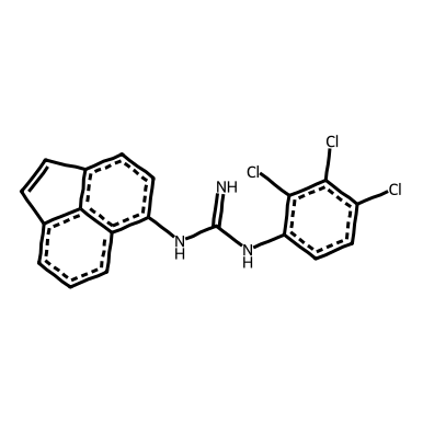 N=C(Nc1ccc(Cl)c(Cl)c1Cl)Nc1ccc2c3c(cccc13)C=C2